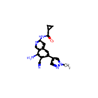 Cn1cc(-c2cc3cc(NC(=O)C4CC4)ncc3c(N)c2C#N)cn1